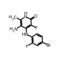 Cc1[nH]c(=O)c(F)c(Nc2ccc(Br)cc2F)c1N